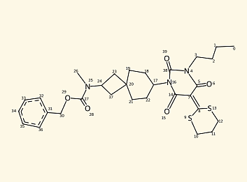 CCCCN1C(=O)C(=C2SCCCS2)C(=O)N(C2CCC3(CC2)CC(N(C)C(=O)OCc2ccccc2)C3)C1=O